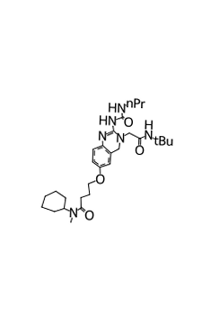 CCCNC(=O)NC1=Nc2ccc(OCCCC(=O)N(C)C3CCCCC3)cc2CN1CC(=O)NC(C)(C)C